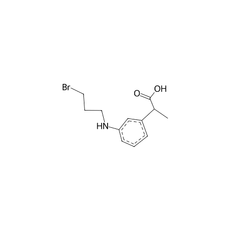 CC(C(=O)O)c1cccc(NCCCBr)c1